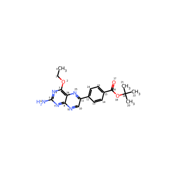 CCOc1nc(N)nc2ncc(-c3ccc(C(=O)OC(C)(C)C)cc3)nc12